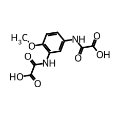 COc1ccc(NC(=O)C(=O)O)cc1NC(=O)C(=O)O